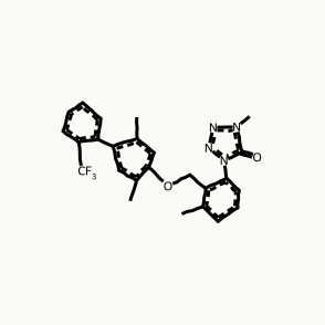 Cc1cc(-c2ccccc2C(F)(F)F)c(C)cc1OCc1c(C)cccc1-n1nnn(C)c1=O